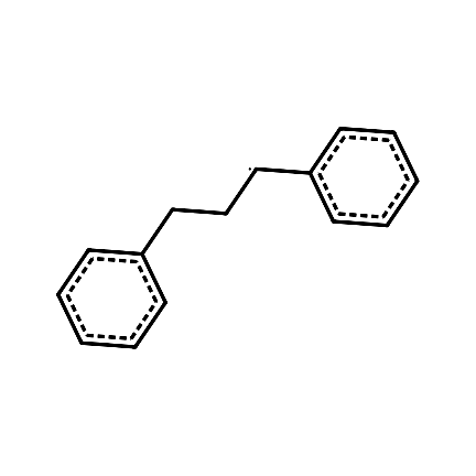 [CH](CCc1ccccc1)c1ccccc1